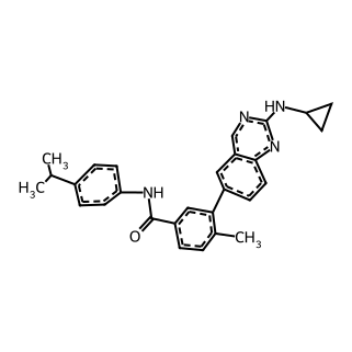 Cc1ccc(C(=O)Nc2ccc(C(C)C)cc2)cc1-c1ccc2nc(NC3CC3)ncc2c1